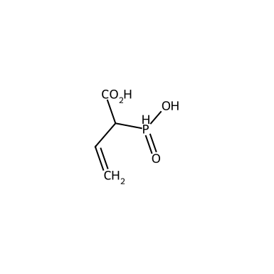 C=CC(C(=O)O)[PH](=O)O